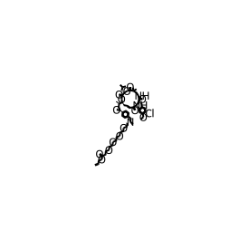 C=CCOC(=O)CCOCCOCCOCCOCCN(C)Cc1ccc([C@H]2O[C@@H]2[C@@H](C)[C@@H]2C/C=C/C(=O)N[C@H](Cc3ccc(OC)c(Cl)c3)C(=O)NCC(C)(C)C(=O)O[C@@H](CC(C)C)C(=O)O2)cc1